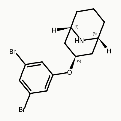 Brc1cc(Br)cc(O[C@@H]2C[C@H]3CCC[C@@H](C2)N3)c1